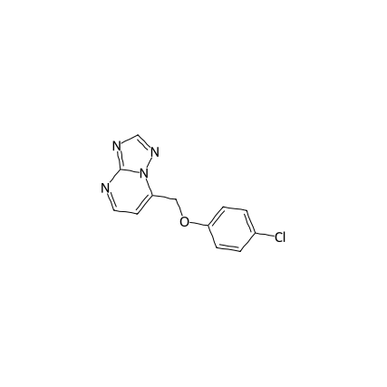 Clc1ccc(OCc2ccnc3ncnn23)cc1